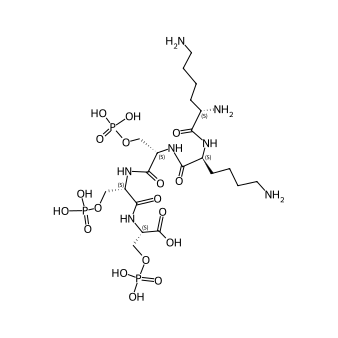 NCCCC[C@H](NC(=O)[C@@H](N)CCCCN)C(=O)N[C@@H](COP(=O)(O)O)C(=O)N[C@@H](COP(=O)(O)O)C(=O)N[C@@H](COP(=O)(O)O)C(=O)O